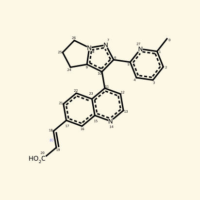 Cc1cccc(-c2nn3c(c2-c2ccnc4cc(/C=C/C(=O)O)ccc24)CCC3)n1